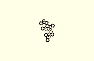 c1ccc2c(-c3cccc4c3oc3ccccc34)nc(-n3c4ccccc4c4c5ccc6oc7ccccc7c6c5c5c6ccccc6oc5c43)nc2c1